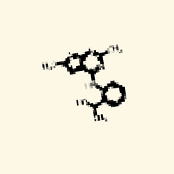 Cc1nc(Nc2ccccc2C(C)O)c2cc(C)sc2n1